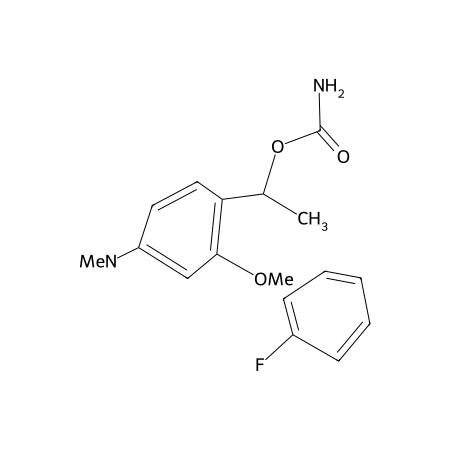 CNc1ccc(C(C)OC(N)=O)c(OC)c1.Fc1ccccc1